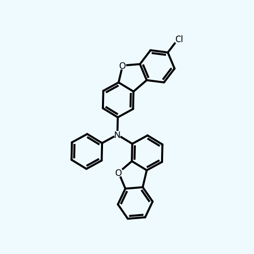 Clc1ccc2c(c1)oc1ccc(N(c3ccccc3)c3cccc4c3oc3ccccc34)cc12